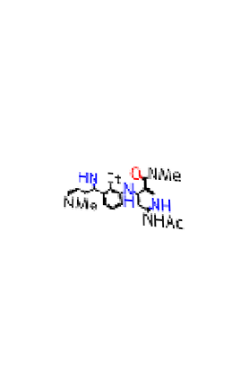 C=C(C(=O)NC)/C(=C\C(=N)NC(C)=O)Nc1cccc(C(=N)C/C=C\NC)c1CC